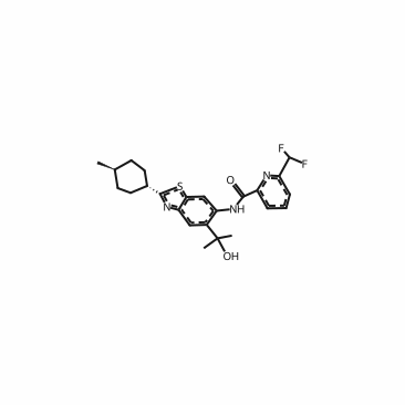 CC(C)(O)c1cc2nc([C@H]3CC[C@H](C)CC3)sc2cc1NC(=O)c1cccc(C(F)F)n1